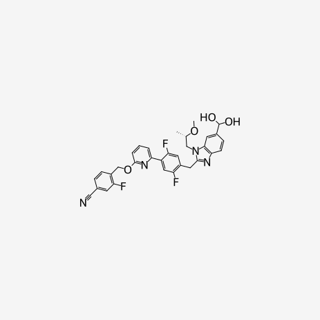 CO[C@@H](C)Cn1c(Cc2cc(F)c(-c3cccc(OCc4ccc(C#N)cc4F)n3)cc2F)nc2ccc(C(O)O)cc21